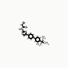 CC(C)(C)c1ccc(-c2ccc(-c3csc(NC(=O)CBr)n3)cc2)cc1